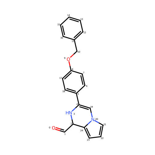 O=CC1NC(c2ccc(OCc3ccccc3)cc2)=Cn2cccc21